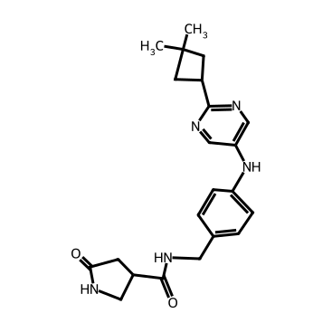 CC1(C)CC(c2ncc(Nc3ccc(CNC(=O)C4CNC(=O)C4)cc3)cn2)C1